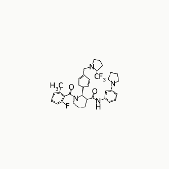 Cc1cccc(F)c1C(=O)N1CCCC(C(=O)Nc2cccc(N3CCCC3)c2)[C@@H]1C1C=CC(CN2CCCC2C(F)(F)F)=CC1